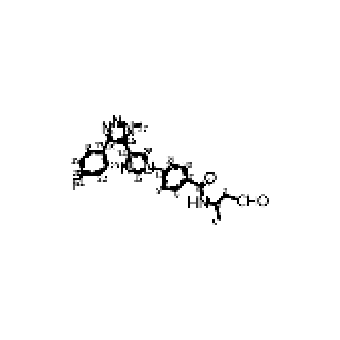 CC(CC=O)NC(=O)c1ccc(-n2cnc(-c3c(-c4ccc(F)cc4)nnn3C)c2)cc1